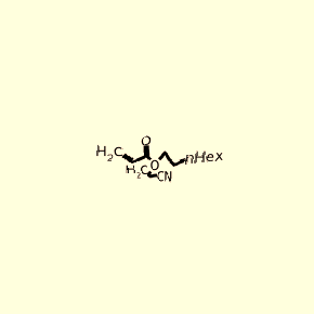 C=CC#N.C=CC(=O)OCCCCCCCC